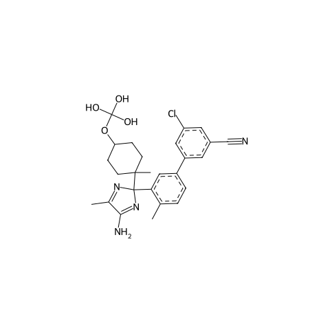 CC1=NC(c2cc(-c3cc(Cl)cc(C#N)c3)ccc2C)(C2(C)CCC(OC(O)(O)O)CC2)N=C1N